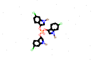 O=P(Oc1cn(Br)c2cc(Cl)ccc12)(Oc1cn(Br)c2cc(Cl)ccc12)Oc1cn(Br)c2cc(Cl)ccc12